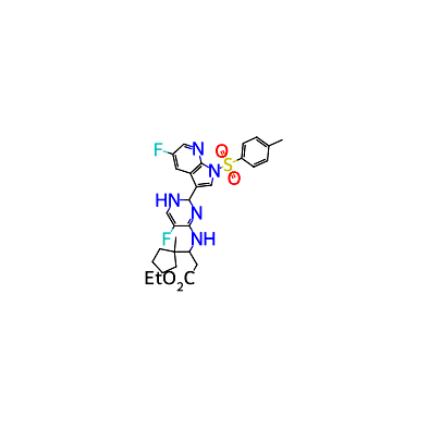 CCOC(=O)CC(NC1=NC(c2cn(S(=O)(=O)c3ccc(C)cc3)c3ncc(F)cc23)NC=C1F)C1(C)CCCC1